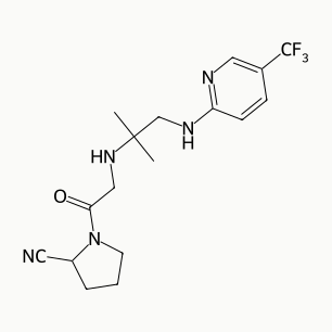 CC(C)(CNc1ccc(C(F)(F)F)cn1)NCC(=O)N1CCCC1C#N